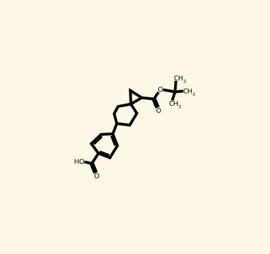 CC(C)(C)OC(=O)C1CC12CCC(c1ccc(C(=O)O)cc1)CC2